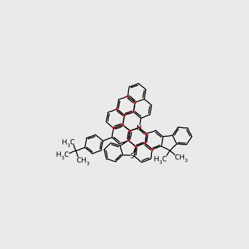 CC(C)(C)c1ccc(-c2cc(-c3ccccc3)c(N(c3ccc4c(c3)-c3ccccc3C4(C)C)c3ccc4ccccc4c3-c3ccccc3-c3cccc4sc5ccccc5c34)c(-c3ccccc3)c2)cc1